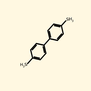 [SiH3]c1ccc(-c2ccc([SiH3])cc2)cc1